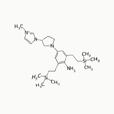 C[n+]1ccn(C2CCN(c3cc(CC[Si](C)(C)C)c(N)c(CC[Si](C)(C)C)c3)C2)c1